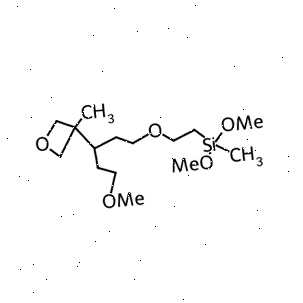 COCCC(CCOCC[Si](C)(OC)OC)C1(C)COC1